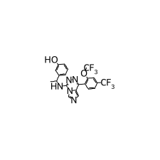 CC(Nc1nnc(-c2ccc(C(F)(F)F)cc2OC(F)(F)F)c2cncn12)c1cccc(O)c1